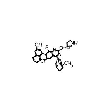 C[C@]12CCC(CN(c3nc(OC[C@H]4CCNC4)nc4c(F)c(-c5cc(O)cc6ccccc56)c(Cl)cc34)C1)N2